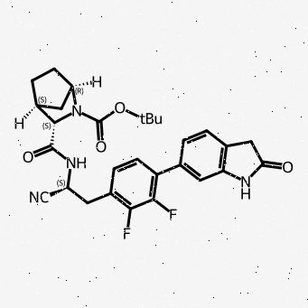 CC(C)(C)OC(=O)N1[C@@H]2CC[C@@H](C2)[C@H]1C(=O)N[C@H](C#N)Cc1ccc(-c2ccc3c(c2)NC(=O)C3)c(F)c1F